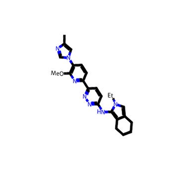 CCn1cc2c(c1Nc1ccc(-c3ccc(-n4cnc(C)c4)c(OC)n3)nn1)CCCC2